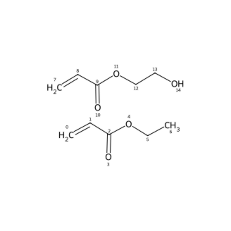 C=CC(=O)OCC.C=CC(=O)OCCO